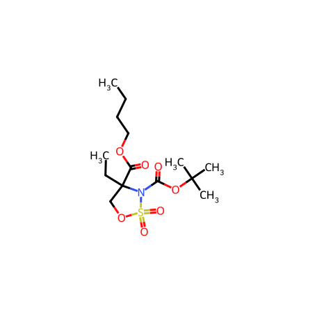 CCCCOC(=O)C1(CC)COS(=O)(=O)N1C(=O)OC(C)(C)C